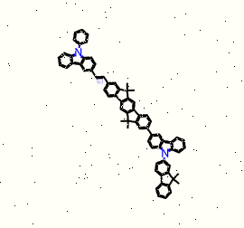 CC1(C)c2ccccc2-c2ccc(-n3c4ccccc4c4cc(-c5ccc6c(c5)C(C)(C)c5cc7c(cc5-6)C(C)(C)c5cc(/C=C/c6ccc8c(c6)c6ccccc6n8-c6ccccc6)ccc5-7)ccc43)cc21